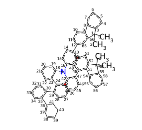 CC1(C)c2ccccc2-c2ccc(-c3ccc(N(c4ccccc4-c4ccccc4-c4ccccc4C4=CC=CCC4)c4ccccc4-c4cccc5c4-c4ccccc4C5(C)C)cc3)cc21